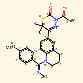 CCCC(=O)N1N=C(c2ccc3c(c2)CCCN3/C(=N\CC)c2ccc(OC)cc2)C(C)(C)SC1=O